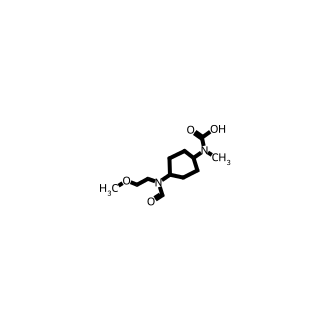 COCCN(C=O)C1CCC(N(C)C(=O)O)CC1